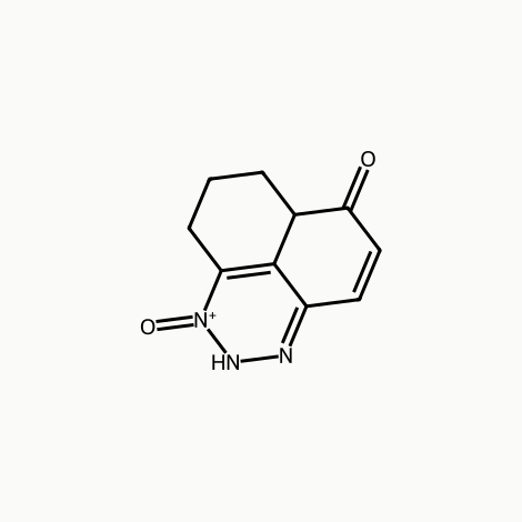 O=C1C=Cc2n[nH][n+](=O)c3c2C1CCC3